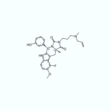 C=CCN(C)CCCN1C(=O)N2[C@H](c3cccc(O)c3)c3[nH]c4ccc(OC)c(F)c4c3C[C@@]2(C)C1=O